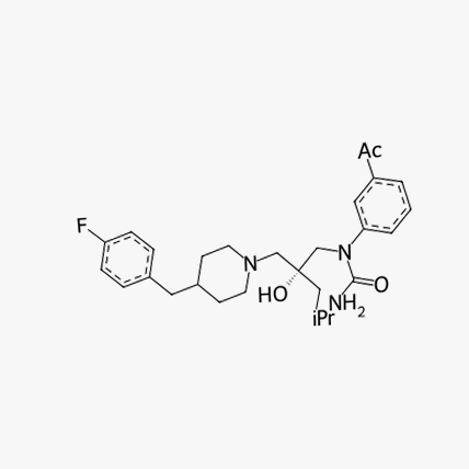 CC(=O)c1cccc(N(C[C@@](O)(CC(C)C)CN2CCC(Cc3ccc(F)cc3)CC2)C(N)=O)c1